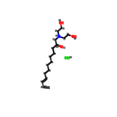 CCCCCCCCC=CCCCCCCCC(=O)CN(CCO)CCO.Cl